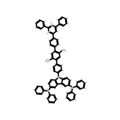 Cc1cc(-c2ccc(-n3c4ccc(N(c5ccccc5)c5ccccc5)cc4c4cc(N(c5ccccc5)c5ccccc5)ccc43)cc2)c(C)cc1-c1ccc(-c2cc(-c3ccccc3)nc(-c3ccccc3)n2)cc1